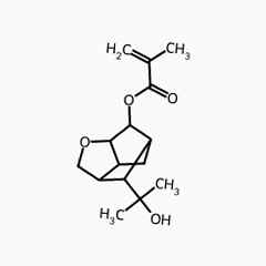 C=C(C)C(=O)OC1C2CC3C(COC31)C2C(C)(C)O